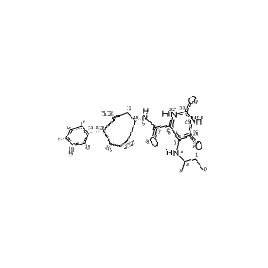 CCC(C)Nc1c(C(=O)N[C@H]2CC[C@@H](c3ccccc3)CC2)[nH]c(=O)[nH]c1=O